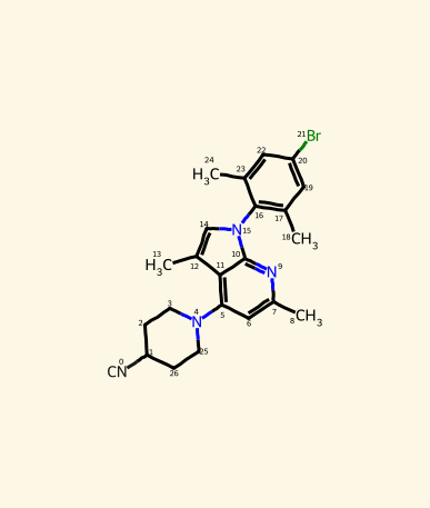 [C-]#[N+]C1CCN(c2cc(C)nc3c2c(C)cn3-c2c(C)cc(Br)cc2C)CC1